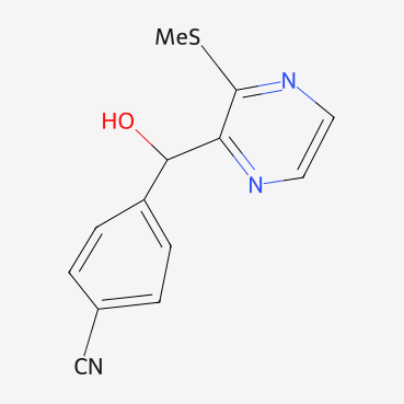 CSc1nccnc1C(O)c1ccc(C#N)cc1